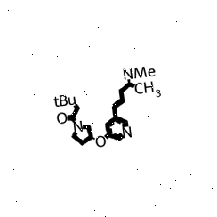 CN[C@@H](C)CC=Cc1cncc(O[C@@H]2CCN(C(=O)CC(C)(C)C)C2)c1